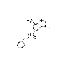 Nc1cc(C(=O)OCCc2ccccc2)cc(N)c1N